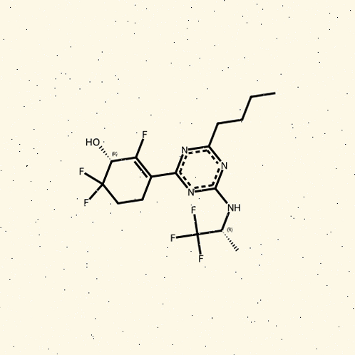 CCCCc1nc(N[C@H](C)C(F)(F)F)nc(C2=C(F)[C@@H](O)C(F)(F)CC2)n1